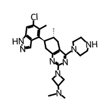 Cc1c(Cl)cc2[nH]ncc2c1[C@@H]1Cc2nc(N3CC(N(C)C)C3)nc(N3CCNCC3)c2C[C@H]1C